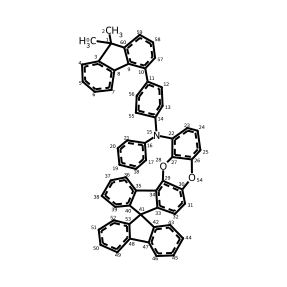 CC1(C)c2ccccc2-c2c(-c3ccc(N(c4ccccc4)c4cccc5c4Oc4c(ccc6c4-c4ccccc4C64c6ccccc6-c6ccccc64)O5)cc3)cccc21